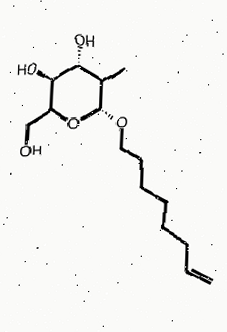 C=CCCCCCCO[C@@H]1OC(CO)[C@@H](O)[C@H](O)C1C